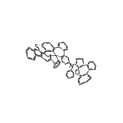 c1ccc(N(c2ccc3c(c2)-c2ccccc2-c2ccccc2C32c3ccccc3-c3cc4c(cc32)sc2ccccc24)c2cccc3c2Oc2ccccc2-c2ccccc2-3)cc1